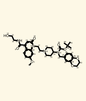 COc1ccc2c(C(=O)NCCO)cc(=O)n(CCN3CCC(N(Cc4ccc5c(c4)OCCO5)C(=O)OC(C)(C)C)CC3)c2c1